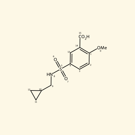 COc1ccc(S(=O)(=O)NCC2CC2)cc1C(=O)O